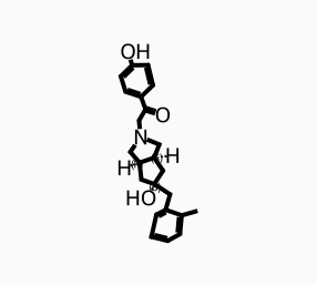 Cc1ccccc1C[C@@]1(O)C[C@H]2CN(CC(=O)c3ccc(O)cc3)C[C@H]2C1